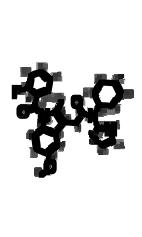 COc1ccc2c(c1)c(CC(=O)N(c1nccs1)C1CCCCC1)c(C)n2C(=O)c1ccccc1F